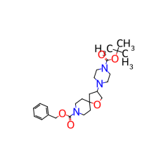 CC(C)(C)OC(=O)N1CCN(C2COC3(CCN(C(=O)OCc4ccccc4)CC3)C2)CC1